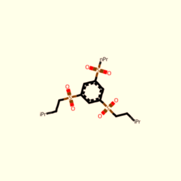 CCCS(=O)(=O)c1cc(S(=O)(=O)CCC(C)C)cc(S(=O)(=O)CCC(C)C)c1